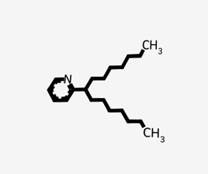 CCCCCCCC(CCCCCCC)c1ccccn1